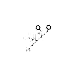 CC(C)(C)OC(=O)NCCC[C@H](CNC(=O)[C@H](COCc1ccccc1)N(Cc1ccccc1)C(=O)O)NC(=O)OC(C)(C)C